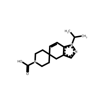 CC(C)n1ncc2c1C=CC1(CCN(C(=O)O)CC1)C2